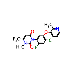 Cc1ncccc1Oc1cc(-n2c(=O)cc(C(F)(F)F)n(C)c2=O)c(F)cc1Cl